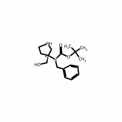 CC(C)(C)OC(=O)N(Cc1ccccc1)[C@]1(CO)CCNC1